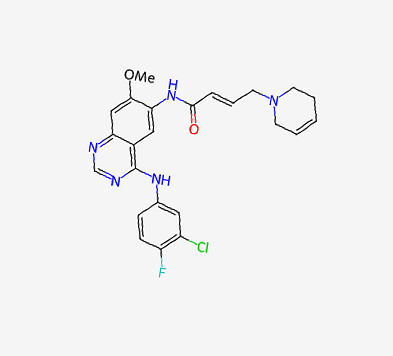 COc1cc2ncnc(Nc3ccc(F)c(Cl)c3)c2cc1NC(=O)C=CCN1CC=CCC1